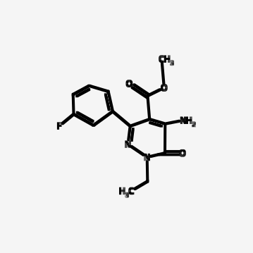 CCn1nc(-c2cccc(F)c2)c(C(=O)OC)c(N)c1=O